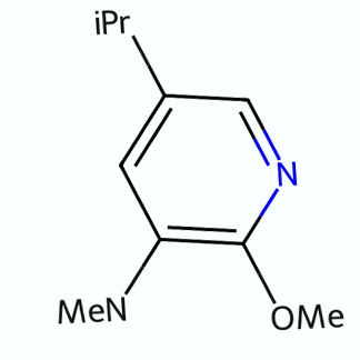 CNc1cc(C(C)C)cnc1OC